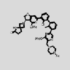 COc1nc(-c2cccc(-c3cccc(-c4cc5c(c(OC)n4)[C@@H](N4CC6(CCC(=O)N6)C4)CO5)c3Cl)c2C)cnc1CN1CCN(C(C)=O)CC1